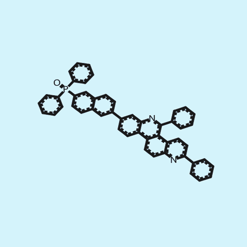 O=P(c1ccccc1)(c1ccccc1)c1ccc2cc(-c3ccc4c(c3)nc(-c3ccccc3)c3c5ccc(-c6ccccc6)nc5ccc43)ccc2c1